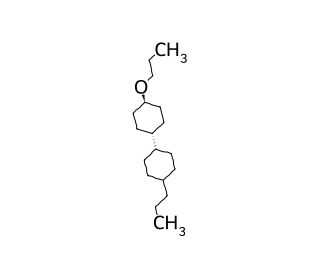 CCCO[C@H]1CC[C@H](C2CCC(CCC)CC2)CC1